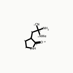 CNC(N)(C#N)CC1CCNC1=O